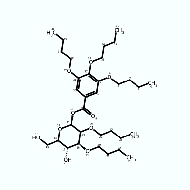 CCCCOc1cc(C(=O)O[C@@H]2OC(CO)[C@@H](O)[C@H](OCCCC)C2OCCCC)cc(OCCCC)c1OCCCC